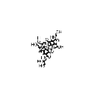 O=C(NCCO)c1c(I)c(NC(=O)N(CCO)c2c(I)c(C(=O)NCCO)c(I)c(C(=O)NCC(O)CO)c2I)c(I)c(C(=O)NCC(O)CO)c1I